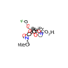 COCCCN1CCOc2ccc(COC3CCCN(C(=O)O)C3(O[Si](C(C)C)(C(C)C)C(C)C)c3ccc(OCCOCc4cccc(F)c4)cc3)cc21